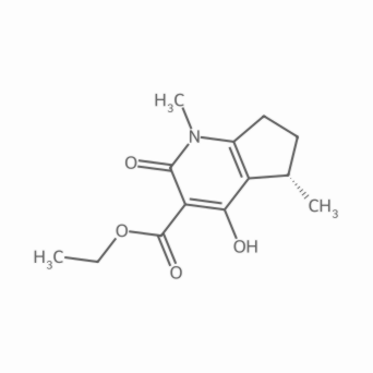 CCOC(=O)c1c(O)c2c(n(C)c1=O)CC[C@@H]2C